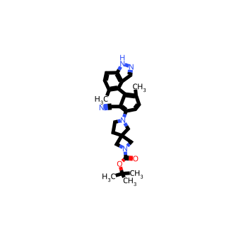 Cc1ccc(N2CCC3(CN(C(=O)OC(C)(C)C)C3)C2)c(C#N)c1-c1c(C)ccc2[nH]ncc12